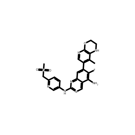 Cc1c(-c2cc3nc(Nc4ccc(CS(C)(=O)=O)nc4)ncc3c(N)c2F)cnc2c1NCCO2